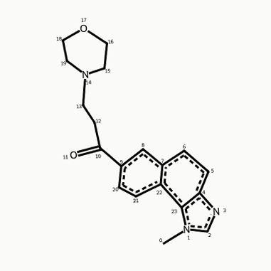 Cn1cnc2ccc3cc(C(=O)CCN4CCOCC4)ccc3c21